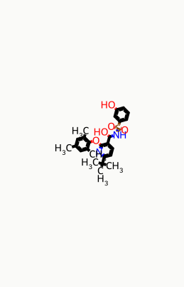 Cc1cc(C)c(Oc2nc(C(C)(C)C)ccc2C(O)NS(=O)(=O)c2cccc(O)c2)c(C)c1